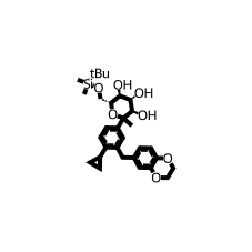 CC1(c2ccc(C3CC3)c(Cc3ccc4c(c3)OCCO4)c2)O[C@H](CO[Si](C)(C)C(C)(C)C)[C@@H](O)[C@H](O)[C@H]1O